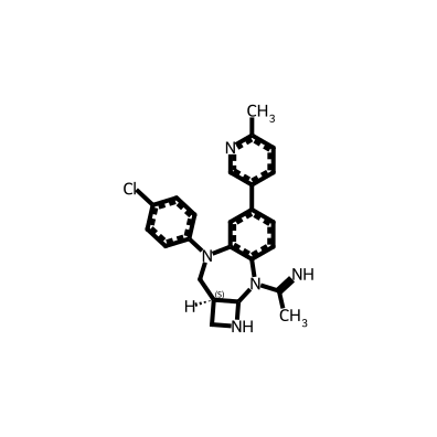 CC(=N)N1c2ccc(-c3ccc(C)nc3)cc2N(c2ccc(Cl)cc2)C[C@@H]2CNC21